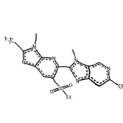 CCS(=O)(=O)c1cc2nc(C(F)(F)F)n(C)c2nc1-c1nc2cc(C(F)(F)F)ncc2n1C